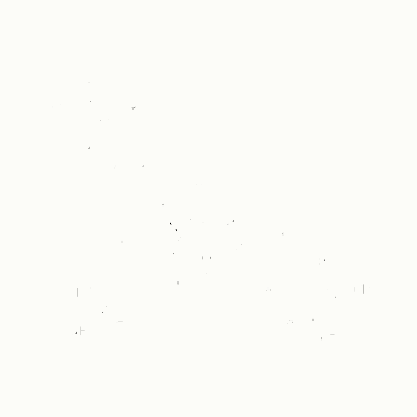 O=C(O)c1ccc(Cc2cc3cc(C(F)(F)F)ccc3n2S(=O)(=O)CC=Cc2ccc(F)c(Cl)c2)cc1